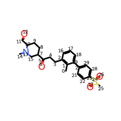 Cc1c(CCC(=O)C2CCC(C=O)N(C)C2)cccc1-c1ccc(S(C)(=O)=O)cc1